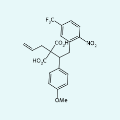 C=CCC(C(=O)O)(C(=O)O)C(Cc1cc(C(F)(F)F)ccc1[N+](=O)[O-])c1ccc(OC)cc1